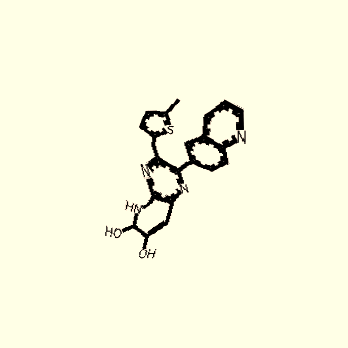 Cc1ccc(-c2nc3c(nc2-c2ccc4ncccc4c2)C=C(O)C(O)N3)s1